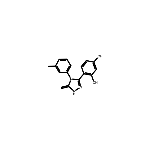 C=C1NN=C(c2ccc(O)cc2O)N1c1cccc(C)c1